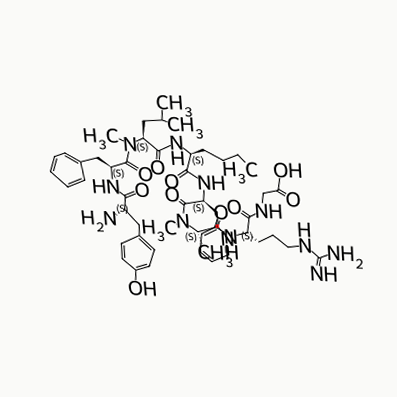 CCCC[C@H](NC(=O)[C@H](CC(C)C)N(C)C(=O)[C@H](Cc1ccccc1)NC(=O)[C@@H](N)Cc1ccc(O)cc1)C(=O)N[C@@H](Cc1ccccn1)C(=O)N(C)[C@@H](C)C(=O)N[C@@H](CCCNC(=N)N)C(=O)NCC(=O)O